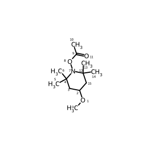 COC1CC(C)(C)N(OC(C)=O)C(C)(C)C1